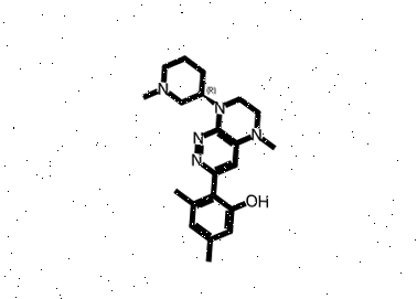 Cc1cc(C)c(-c2cc3c(nn2)N([C@@H]2CCCN(C)C2)CCN3C)c(O)c1